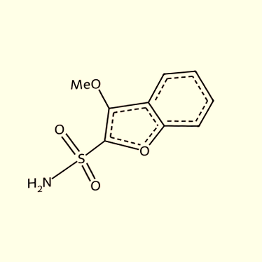 COc1c(S(N)(=O)=O)oc2ccccc12